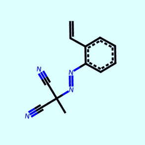 C=Cc1ccccc1N=NC(C)(C#N)C#N